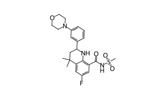 CC1(C)CC(c2cccc(N3CCOCC3)c2)Nc2c(C(=O)NS(C)(=O)=O)cc(F)cc21